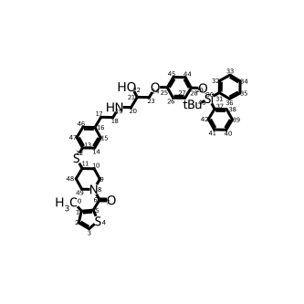 Cc1ccsc1C(=O)N1CCC(Sc2ccc(CCNCC(O)COc3ccc(O[Si](c4ccccc4)(c4ccccc4)C(C)(C)C)cc3)cc2)CC1